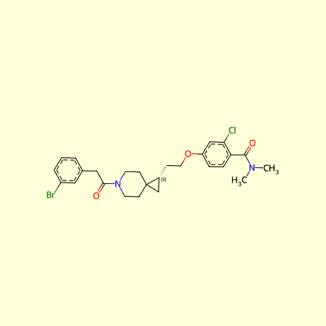 CN(C)C(=O)c1ccc(OCC[C@@H]2CC23CCN(C(=O)Cc2cccc(Br)c2)CC3)cc1Cl